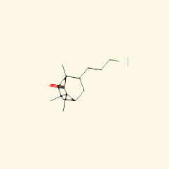 CC1(C)C(=O)C2(C)CCC1CC2CCCCl